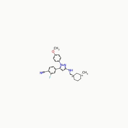 COc1ccc(-n2nc(NC[C@@H]3CCC[C@@H](C)C3)cc2-c2ccc(C#N)c(F)c2)cc1